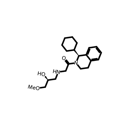 COC[C@@H](O)CNCC(=O)N1CCc2ccccc2[C@@H]1C1CCCCC1